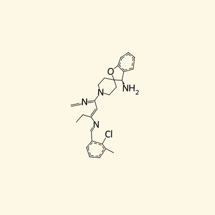 C=C\N=C(/C=C(CC)/N=C/c1cccc(C)c1Cl)N1CCC2(CC1)Oc1ccccc1[C@H]2N